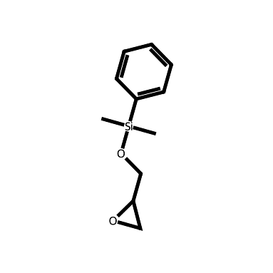 C[Si](C)(OCC1CO1)c1ccccc1